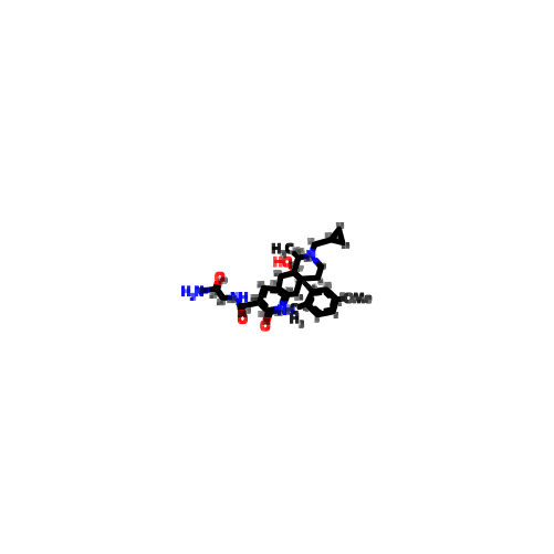 COc1ccc(C)c([C@]23CCN(CC4CC4)[C@H](C)[C@]2(O)Cc2cc(C(=O)NCC(N)=O)c(=O)[nH]c2C3)c1